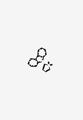 O=S1(=O)C=CC=C1.c1ccc2c(c1)[nH]c1ccccc12